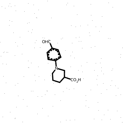 O=Cc1ccc(N2CCCC(C(=O)O)C2)cc1